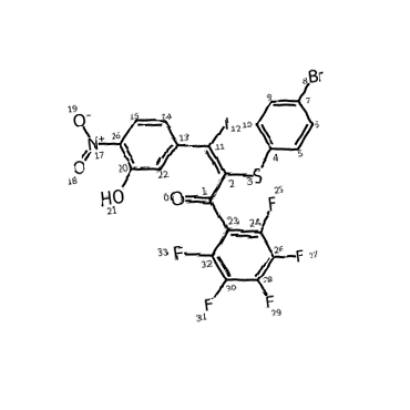 O=C(C(Sc1ccc(Br)cc1)=C(I)c1ccc([N+](=O)[O-])c(O)c1)c1c(F)c(F)c(F)c(F)c1F